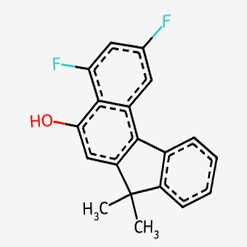 CC1(C)c2ccccc2-c2c1cc(O)c1c(F)cc(F)cc21